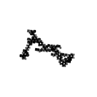 Cc1c(-c2ccc(N3CCc4cccc(C(=O)Nc5nc6ccccc6s5)c4C3)nc2C(=O)O)cnn1CC12CC3(C)CC(C)(C1)CC(OCCN(CCS(=O)(=O)O)C(=O)OCc1ccc(NC(=O)[C@H](CCCNC(N)=O)NC(=O)[C@@H](NC(=O)CCCCCNC(=O)CN4C(=O)C=CC4=O)C(C)C)cc1)(C3)C2